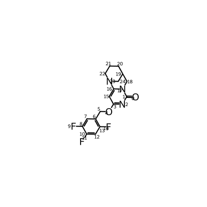 O=c1nc(OCc2cc(F)c(F)cc2F)cc2n1CC1CCCN2C1